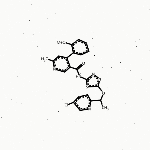 COc1ccccc1-c1cc(C)ncc1C(=O)Nc1nnc(OC(C)c2ccc(Cl)cn2)s1